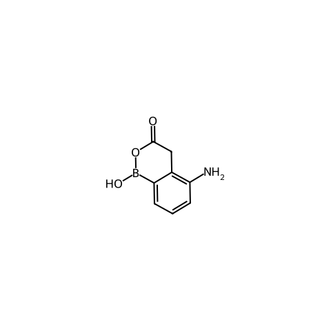 Nc1cccc2c1CC(=O)OB2O